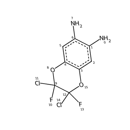 Nc1cc2c(cc1N)OC(F)(Cl)C(F)(Cl)O2